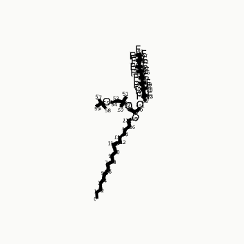 CCCCCCCCCCCCCCCCCCOC(COCC(F)(F)C(F)(F)C(F)(F)C(F)(F)C(F)(F)C(F)(F)C(F)(F)C(F)(F)F)COC(C)(C)CCOC(C)(C)C